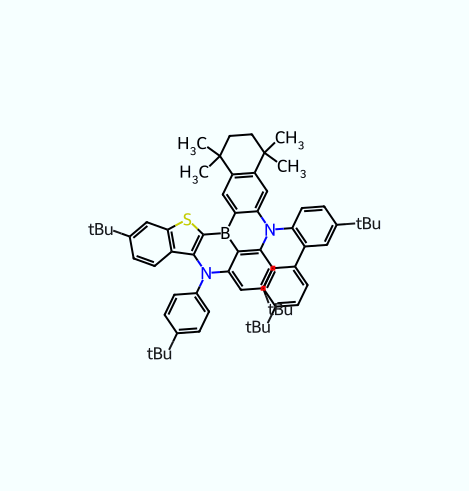 CC(C)(C)c1ccc(-c2cc(C(C)(C)C)ccc2N2c3cc4c(cc3B3c5sc6cc(C(C)(C)C)ccc6c5N(c5ccc(C(C)(C)C)cc5)c5cc(C(C)(C)C)cc2c53)C(C)(C)CCC4(C)C)cc1